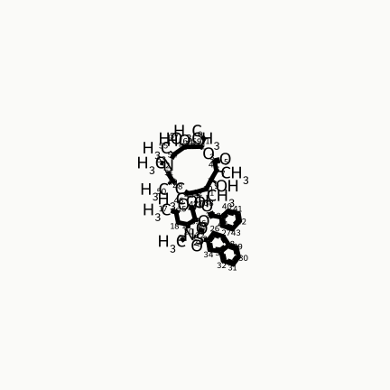 CC[C@H]1OC(=O)[C@H](C)[C@@H](O)[C@H](C)[C@@H](OC2OC(C)CC(N(C)S(=O)(=O)c3ccc4ccccc4c3)C2OC(=O)c2ccccc2)[C@@](C)(O)C[C@@H](C)CN(C)[C@H](C)[C@@H](O)[C@]1(C)O